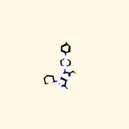 OCc1nc2c(I)nn(C3CCCCO3)c2nc1N1CCN(c2ccc(F)cc2)CC1